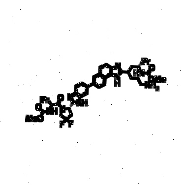 COC(=O)N[C@H](C(=O)N1CC(F)(F)C[C@H]1c1nc2ccc(-c3ccc4c(ccc5nc([C@H](CCCN)C[C@@H](NC(=O)OC)C(C)C)[nH]c54)c3)cc2[nH]1)C(C)C